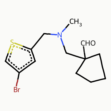 CN(Cc1cc(Br)cs1)CC1(C=O)CCCC1